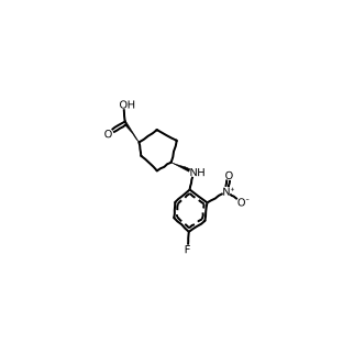 O=C(O)[C@H]1CC[C@@H](Nc2ccc(F)cc2[N+](=O)[O-])CC1